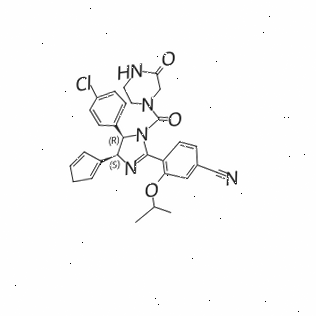 CC(C)Oc1cc(C#N)ccc1C1=N[C@@H](C2=CCC=C2)[C@@H](c2ccc(Cl)cc2)N1C(=O)N1CCNC(=O)C1